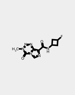 Cn1nnc2c(C(=O)NC3CC(F)C3)ncn2c1=O